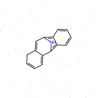 C1=CCC2=Cc3[nH]c(c4ccccc34)C2=C1